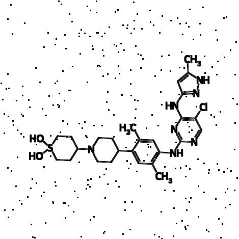 Cc1cc(Nc2nc(Nc3cc(C)c(C4CCN(C5CCS(O)(O)CC5)CC4)cc3C)ncc2Cl)n[nH]1